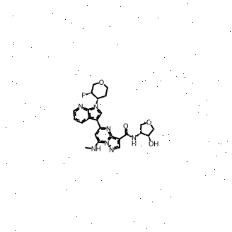 CNc1cc(-c2cn([C@@H]3CCOC[C@@H]3F)c3ncccc23)nc2c(C(=O)N[C@H]3COC[C@H]3O)cnn12